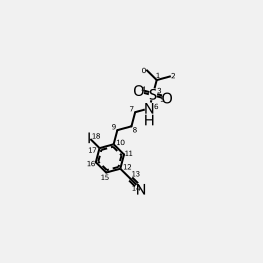 CC(C)S(=O)(=O)NCCCc1cc(C#N)ccc1I